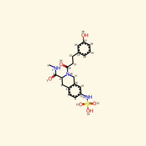 CNC(=O)C1Cc2ccc(NS(=O)(=O)O)cc2CN1C(=O)CCc1cccc(O)c1